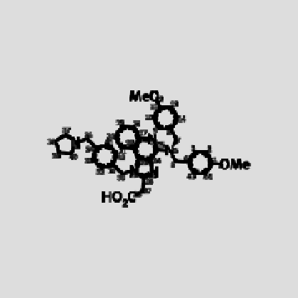 COc1ccc(CN(Cc2ccc(OC)cc2)c2nc3ccccc3c3c2nc(CC(=O)O)n3Cc2ccc(CN3CCCC3)cc2)cc1